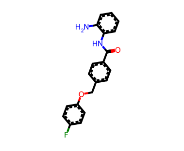 Nc1ccccc1NC(=O)c1ccc(COc2ccc(F)cc2)cc1